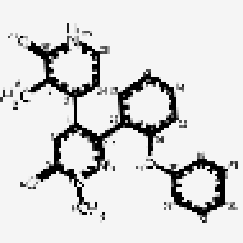 Cc1c(-c2cc(=O)n(C)nc2-c2ccccc2Oc2ccccc2)cc[nH]c1=O